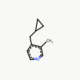 Cc1cnccc1CC1CC1